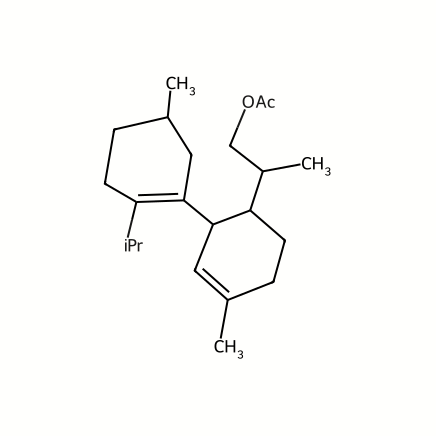 CC(=O)OCC(C)C1CCC(C)=CC1C1=C(C(C)C)CCC(C)C1